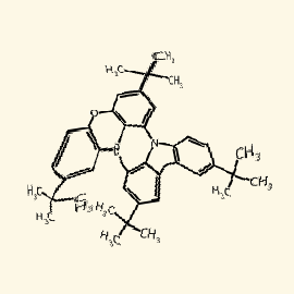 CC(C)(C)c1ccc2c(c1)B1c3c(cc(C(C)(C)C)cc3-n3c4ccc(C(C)(C)C)cc4c4cc(C(C)(C)C)cc1c43)O2